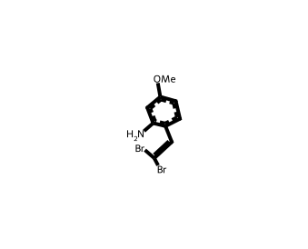 COc1ccc(C=C(Br)Br)c(N)c1